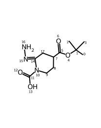 CC(C)(C)OC(=O)C1CCN(C(=O)O)C(=NN)C1